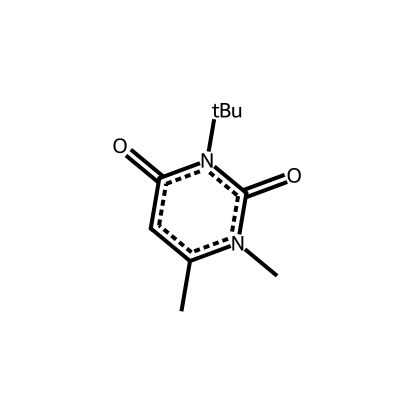 Cc1cc(=O)n(C(C)(C)C)c(=O)n1C